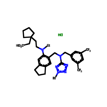 CCN(CCC1(CC(=O)O)CCCC1)c1cc2c(cc1CN(Cc1cc(C(F)(F)F)cc(C(F)(F)F)c1)c1nnn(CC)n1)CCC2.Cl